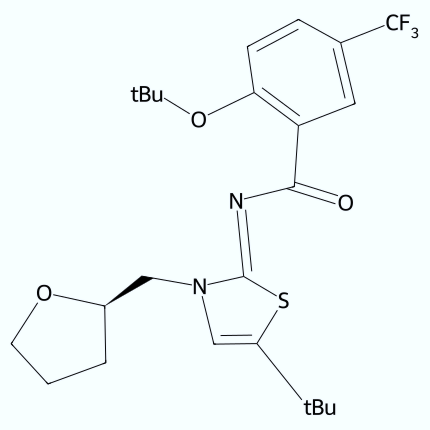 CC(C)(C)Oc1ccc(C(F)(F)F)cc1C(=O)N=c1sc(C(C)(C)C)cn1C[C@H]1CCCO1